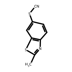 Cc1nc2ccc(SC#N)cc2s1